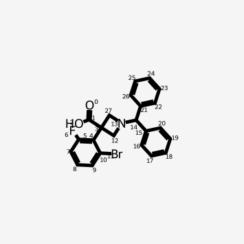 O=C(O)C1(c2c(F)cccc2Br)CN(C(c2ccccc2)c2ccccc2)C1